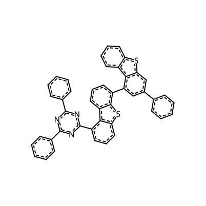 c1ccc(-c2cc(-c3cccc4c3sc3cccc(-c5nc(-c6ccccc6)nc(-c6ccccc6)n5)c34)c3c(c2)sc2ccccc23)cc1